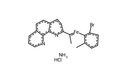 C/[C](=[Fe]\[c]1c(C)cccc1Br)c1ccc2ccc3cccnc3c2n1.Cl.N